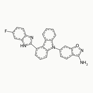 Nc1noc2cc(-n3c4ccccc4c4c(-c5nc6ccc(F)cc6[nH]5)cccc43)ccc12